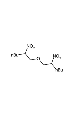 CCCCC(COCC(CCCC)[N+](=O)[O-])[N+](=O)[O-]